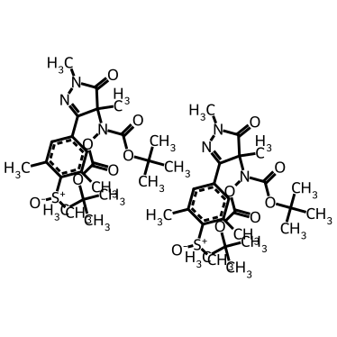 Cc1cc(C2=NN(C)C(=O)C2(C)N(OC(=O)OC(C)(C)C)C(=O)OC(C)(C)C)cc(C)c1[S+](C)[O-].Cc1cc(C2=NN(C)C(=O)C2(C)N(OC(=O)OC(C)(C)C)C(=O)OC(C)(C)C)cc(C)c1[S+](C)[O-]